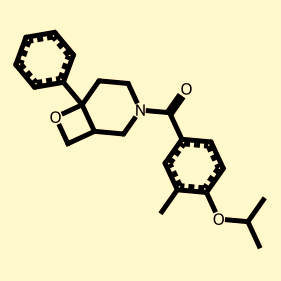 Cc1cc(C(=O)N2CCC3(c4ccccc4)OCC3C2)ccc1OC(C)C